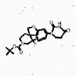 CC(C)(C)OC(=O)N1CCC2(COc3cc(N4CCC(=O)NC4=O)ccc32)C(F)(F)C1